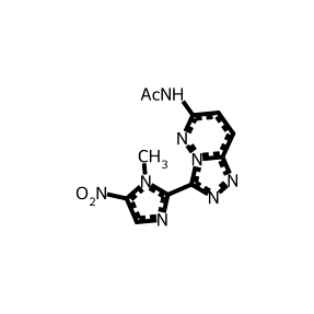 CC(=O)Nc1ccc2nnc(-c3ncc([N+](=O)[O-])n3C)n2n1